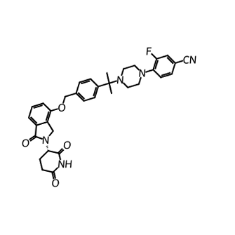 CC(C)(c1ccc(COc2cccc3c2CN([C@H]2CCC(=O)NC2=O)C3=O)cc1)N1CCN(c2ccc(C#N)cc2F)CC1